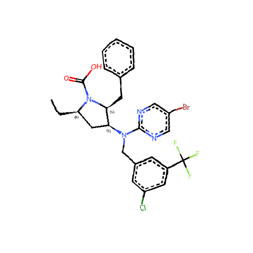 CC[C@@H]1C[C@H](N(Cc2cc(Cl)cc(C(F)(F)F)c2)c2ncc(Br)cn2)[C@H](Cc2ccccc2)N1C(=O)O